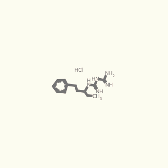 CCC(CCc1ccccc1)NC(=N)NC(=N)N.Cl